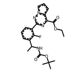 CCOC(=O)c1nc(-c2cccc(C(C)NC(=O)OC(C)(C)C)c2F)nn2cccc12